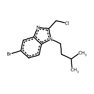 CC(C)CCn1c(CCl)nc2cc(Br)ccc21